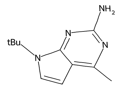 Cc1nc(N)nc2c1ccn2C(C)(C)C